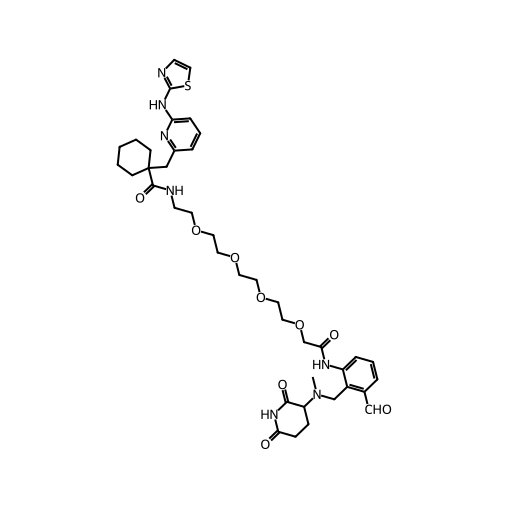 CN(Cc1c(C=O)cccc1NC(=O)COCCOCCOCCOCCNC(=O)C1(Cc2cccc(Nc3nccs3)n2)CCCCC1)C1CCC(=O)NC1=O